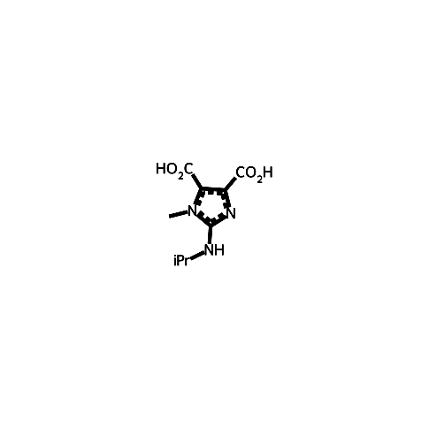 CC(C)Nc1nc(C(=O)O)c(C(=O)O)n1C